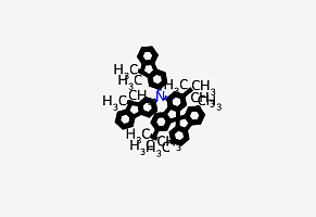 Cc1ccc2c(c1)C1(c3cc(C)ccc3-2)c2cc(C(C)(C)C)ccc2-c2c(N(c3ccc4c(c3)C(C)(C)c3ccccc3-4)c3ccc4c(c3)C(C)(C)c3ccccc3-4)cc(C(C)(C)C)cc21